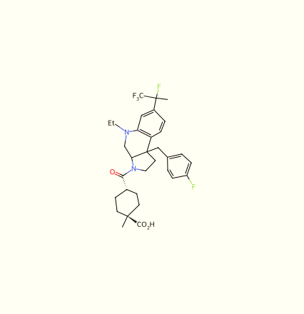 CCN1CC2N(C(=O)[C@H]3CC[C@](C)(C(=O)O)CC3)CCC2(Cc2ccc(F)cc2)c2ccc(C(C)(F)C(F)(F)F)cc21